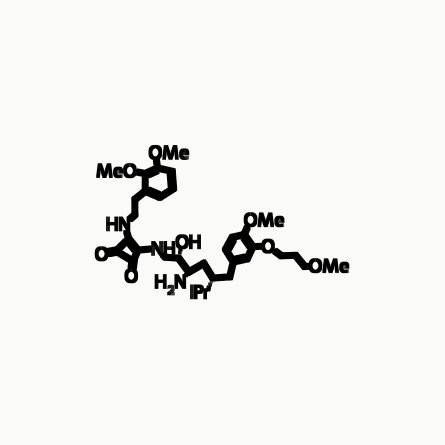 COCCCOc1cc(C[C@@H](C[C@H](N)[C@@H](O)CNc2c(NCCc3cccc(OC)c3OC)c(=O)c2=O)C(C)C)ccc1OC